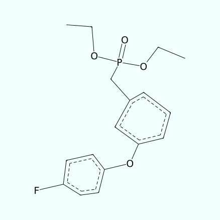 CCOP(=O)(Cc1cccc(Oc2ccc(F)cc2)c1)OCC